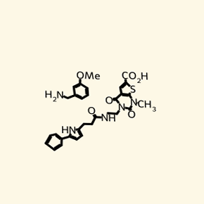 COc1cccc(CN)c1.Cn1c(=O)n(CCNC(=O)CCc2ccc(-c3ccccc3)[nH]2)c(=O)c2cc(C(=O)O)sc21